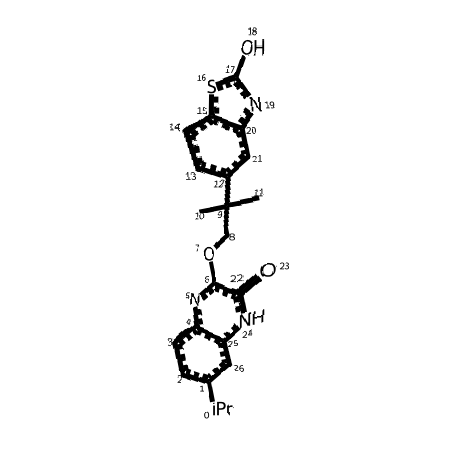 CC(C)c1ccc2nc(OCC(C)(C)c3ccc4sc(O)nc4c3)c(=O)[nH]c2c1